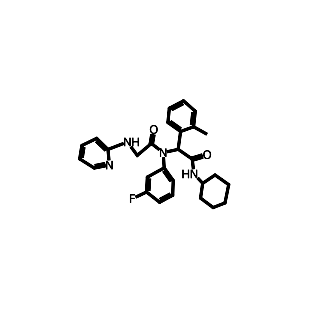 Cc1ccccc1C(C(=O)NC1CCCCC1)N(C(=O)CNc1ccccn1)c1cccc(F)c1